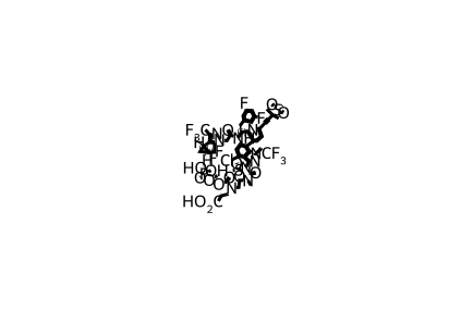 CN(CCN(CCC(=O)O)C(=O)OCOP(=O)(O)O)C(=O)N(c1nn(CC(F)(F)F)c2c(-c3ccc(C#CC(C)(C)S(C)(=O)=O)nc3[C@H](Cc3cc(F)cc(F)c3)NC(=O)Cn3nc(C(F)(F)F)c4c3C(F)(F)[C@@H]3C[C@H]43)ccc(Cl)c12)S(C)(=O)=O